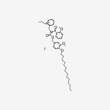 CCCCCCCCCCCCCCOc1ccc(COC(=O)N(Cc2cccc[n+]2CCC)C(=O)c2ccccc2OC)cc1OC.[I-]